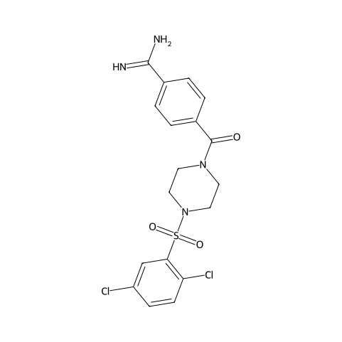 N=C(N)c1ccc(C(=O)N2CCN(S(=O)(=O)c3cc(Cl)ccc3Cl)CC2)cc1